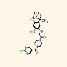 CCC(C)(C)c1cc(NCC(=O)N2CCN(C(=O)c3cnc(Cl)nc3)CC2)c(O)cc1Cl